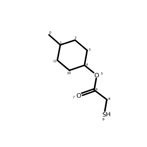 CC1CCC(OC(=O)CS)CC1